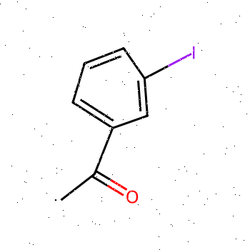 [CH2]C(=O)c1cccc(I)c1